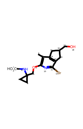 Cc1c(OCC2(NC(=O)O)CC2)nc(Br)c2c1CC(CO)C2